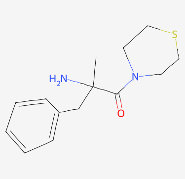 CC(N)(Cc1ccccc1)C(=O)N1CCSCC1